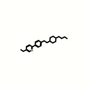 CCCCC1CCC(CCc2ccc(-c3ccc(CC)cn3)cc2)CC1